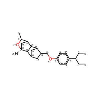 CCC(CC)c1ccc(OCC2CC3CC2C2C4C[C@H](OC4C)C32)cc1